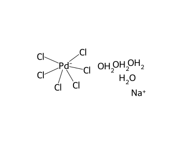 O.O.O.O.[Cl][Pd-]([Cl])([Cl])([Cl])([Cl])[Cl].[Na+]